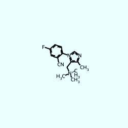 Cc1ncn(-c2ccc(F)cc2C#N)c1C[N+](C)(C)C